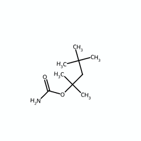 CC(C)(C)CC(C)(C)OC(N)=O